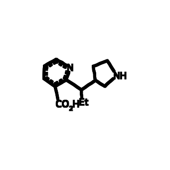 CCC(c1ncccc1C(=O)O)C1CCNC1